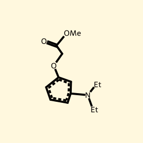 CCN(CC)c1cccc(OCC(=O)OC)c1